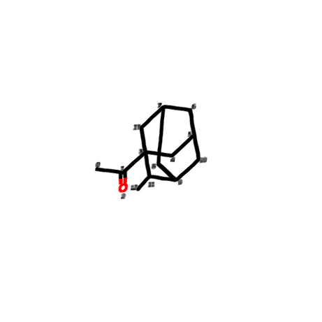 CC(=O)C12CC3CC(CC(C3)C1C)C2